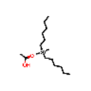 CC(=O)O.CCCCC[CH2][Sn]([CH3])([CH3])[CH2]CCCCC